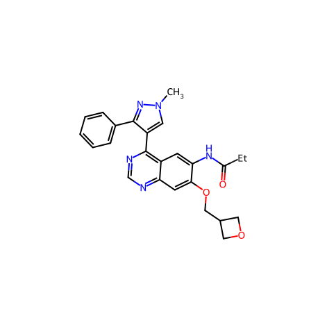 CCC(=O)Nc1cc2c(-c3cn(C)nc3-c3ccccc3)ncnc2cc1OCC1COC1